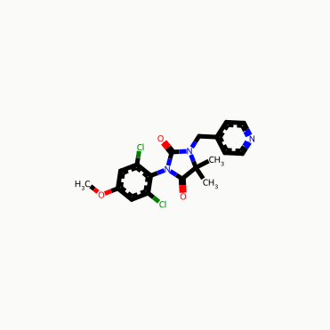 COc1cc(Cl)c(N2C(=O)N(Cc3ccncc3)C(C)(C)C2=O)c(Cl)c1